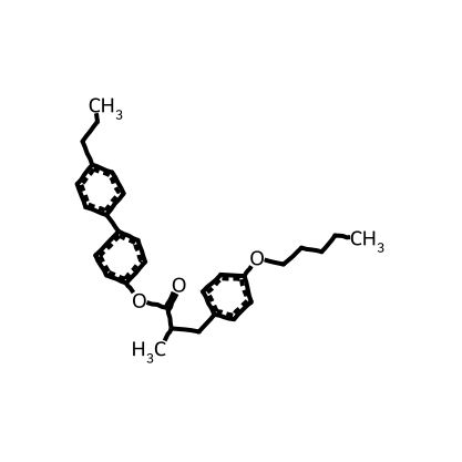 CCCCCOc1ccc(CC(C)C(=O)Oc2ccc(-c3ccc(CCC)cc3)cc2)cc1